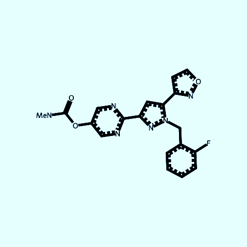 CNC(=O)Oc1cnc(-c2cc(-c3ccon3)n(Cc3ccccc3F)n2)nc1